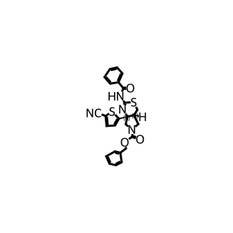 N#Cc1ccc([C@]23CN(C(=O)OCc4ccccc4)C[C@H]2CSC(NC(=O)c2ccccc2)=N3)s1